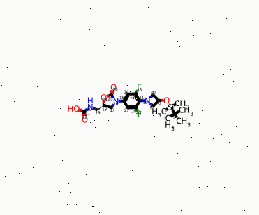 CC(C)(C)[Si](C)(C)OC1CN(c2c(F)cc(N3C[C@H](CNC(=O)O)OC3=O)cc2F)C1